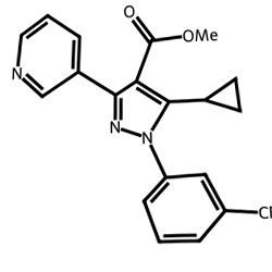 COC(=O)c1c(-c2cccnc2)nn(-c2cccc(C(F)(F)F)c2)c1C1CC1